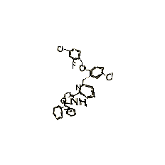 O=C(NS(=O)(=O)c1ccccc1)c1cccc(Cc2cc(Cl)ccc2OCc2ccc(Cl)cc2F)n1